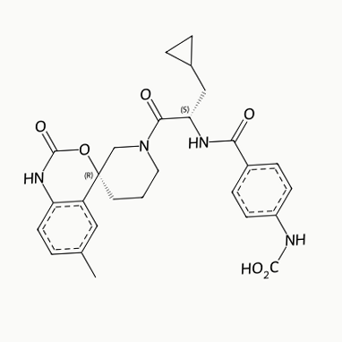 Cc1ccc2c(c1)[C@@]1(CCCN(C(=O)[C@H](CC3CC3)NC(=O)c3ccc(NC(=O)O)cc3)C1)OC(=O)N2